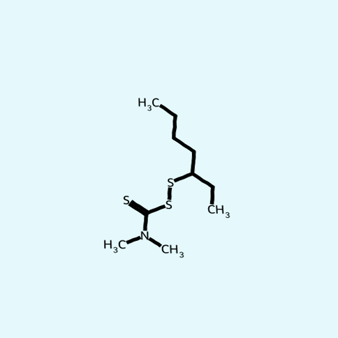 CCCCC(CC)SSC(=S)N(C)C